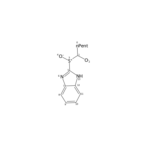 CCCCCC([O])[S+]([O-])c1nc2ccccc2[nH]1